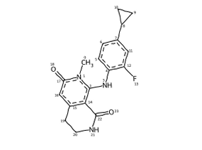 Cn1c(Nc2ccc(C3CC3)cc2F)c2c(cc1=O)CCNC2=O